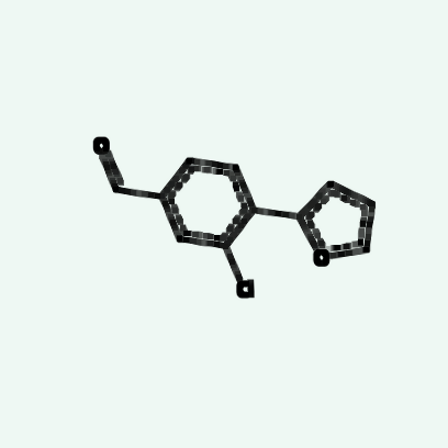 O=Cc1ccc(-c2ccco2)c(Cl)c1